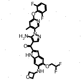 Cc1cc(Oc2c(F)cccc2F)ncc1-n1ncc(C(=O)c2cc3cc(OCC(F)F)c(NC4COC4)cc3[nH]2)c1N